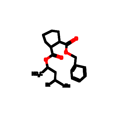 CCCCC(CC)CC(OC(=O)C1CCCCC1C(=O)OCc1ccccc1)C(=O)O